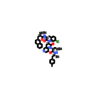 CC(=O)N[C@H](Cc1ccc2ccccc2c1)C(=O)N[C@H](Cc1ccc(Cl)cc1)C(=O)N[C@H](Cc1cccnc1)C(=O)N[C@@H](COCC(C)C)C(=O)N[C@@H](Cc1ccc(C)cc1)C(C)=O